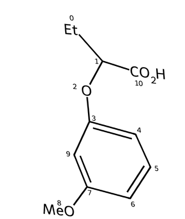 CCC(Oc1cccc(OC)c1)C(=O)O